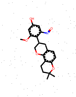 COc1cc(O)cc(N=O)c1C1COc2c(ccc3c2CCC(C)(C)O3)C1